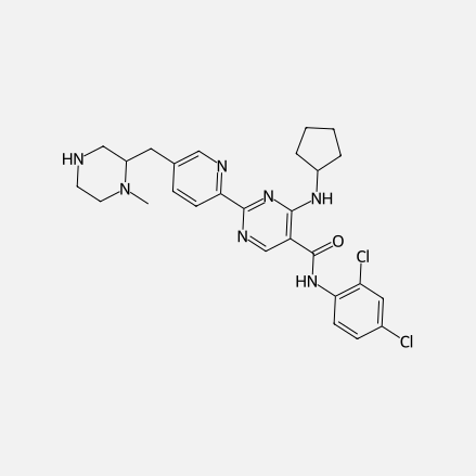 CN1CCNCC1Cc1ccc(-c2ncc(C(=O)Nc3ccc(Cl)cc3Cl)c(NC3CCCC3)n2)nc1